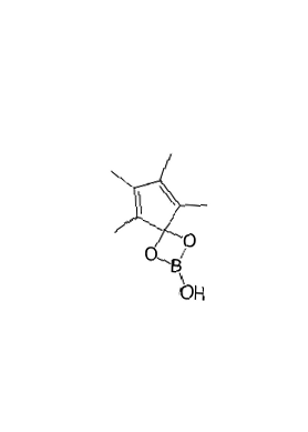 CC1=C(C)C2(OB(O)O2)C(C)=C1C